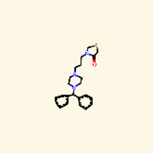 O=C1CSCN1CCCN1CCN(C(c2ccccc2)c2ccccc2)CC1